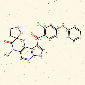 CN1C(=O)C2(CCNC2)Nc2c1cnc1[nH]cc(C(=O)c3ccc(Oc4ccccc4)cc3Cl)c21